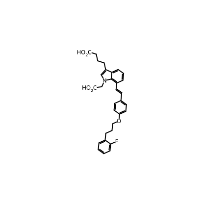 O=C(O)CCCc1cn(CC(=O)O)c2c(C=Cc3ccc(OCCCc4ccccc4F)cc3)cccc12